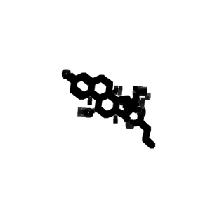 CCCC1O[C@@H]2CC3[C@@H]4CCC5=CC(=O)C=C[C@]5(C)C4[C@@H](O)C[C@]3(C)[C@]2(C(=O)CN)O1